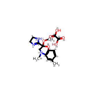 COC1(C2=NCCN2)CN(C)c2cc(C)ccc2O1.O=C(O)C(=O)O